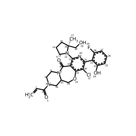 C=CC(=O)N1CCN2C(=O)c3c(N4CCC[C@@]4(C)CO)nc(-c4c(O)cccc4F)c(Cl)c3OCC2C1